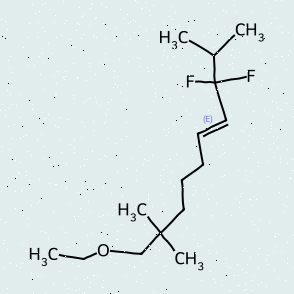 CCOCC(C)(C)CCC/C=C/C(F)(F)C(C)C